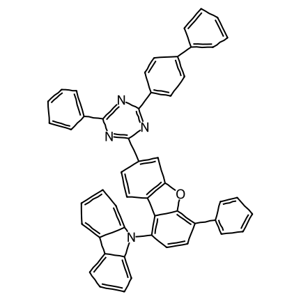 c1ccc(-c2ccc(-c3nc(-c4ccccc4)nc(-c4ccc5c(c4)oc4c(-c6ccccc6)ccc(-n6c7ccccc7c7ccccc76)c45)n3)cc2)cc1